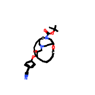 CC(C)(C)OC(=O)N1CC2CCCCCCCCCCOC(CN(C[C@H](O)COc3ccc(C#N)cc3)C2)C1